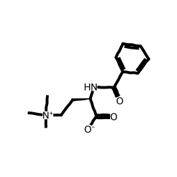 C[N+](C)(C)CC[C@@H](NC(=O)c1ccccc1)C(=O)[O-]